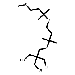 CSCCC(C)(C)OCCC(C)(C)OCC(CO)(CO)CO